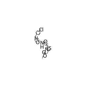 CCOC(=O)Cc1csc(SCC(=O)NC[C@H]2CN(Cc3ccc(Cl)cc3)CCO2)n1